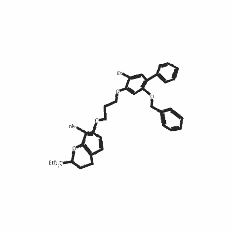 CCCc1c(OCCCOc2cc(OCc3ccccc3)c(-c3ccccc3)cc2CC)ccc2c1OC(C(=O)OCC)CC2